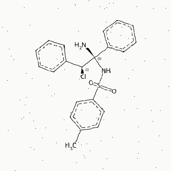 Cc1ccc(S(=O)(=O)N[C@@](N)(c2ccccc2)[C@@H](Cl)c2ccccc2)cc1